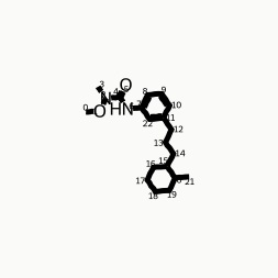 CON(C)C(=O)Nc1cccc(CCCC2CCCCC2C)c1